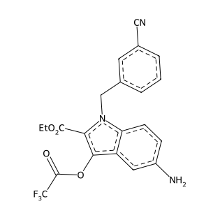 CCOC(=O)c1c(OC(=O)C(F)(F)F)c2cc(N)ccc2n1Cc1cccc(C#N)c1